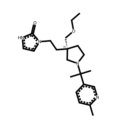 CCOC[C@]1(CCn2cc[nH]c2=O)CCN(C(C)(C)c2ccc(C)nc2)C1